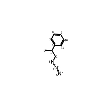 C[C@H](CN=[N+]=[N-])c1ccccc1